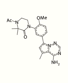 COc1ccc(-c2cc(C)c3c(N)ncnn23)cc1N1CCN(C(C)=O)C(C)(C)C1=O